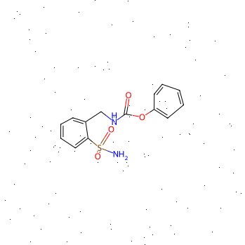 NS(=O)(=O)c1ccccc1CNC(=O)Oc1ccccc1